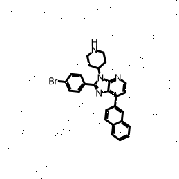 Brc1ccc(-c2nc3c(-c4ccc5ccccc5c4)ccnc3n2C2CCNCC2)cc1